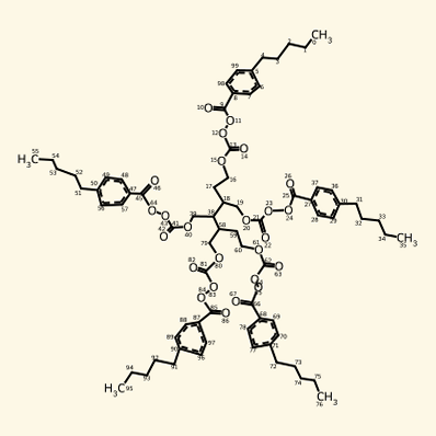 CCCCCc1ccc(C(=O)OOC(=O)OCCC(COC(=O)OOC(=O)c2ccc(CCCCC)cc2)C(COC(=O)OOC(=O)c2ccc(CCCCC)cc2)C(CCOC(=O)OOC(=O)c2ccc(CCCCC)cc2)COC(=O)OOC(=O)c2ccc(CCCCC)cc2)cc1